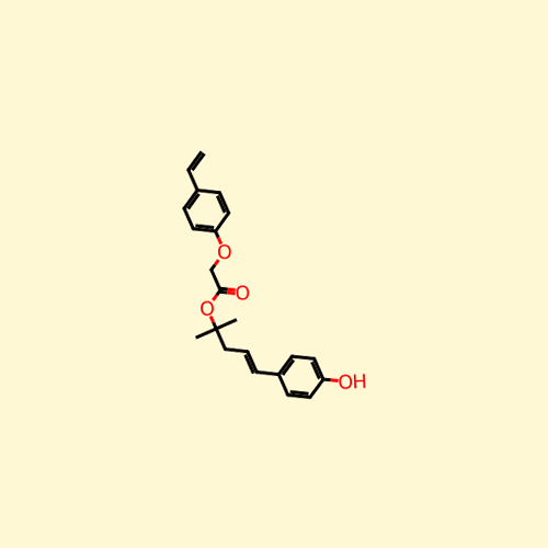 C=Cc1ccc(OCC(=O)OC(C)(C)CC=Cc2ccc(O)cc2)cc1